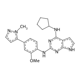 COc1cc(-c2ccnn2C)ccc1Nc1nc(NC2CCCC2)c2cc[nH]c2n1